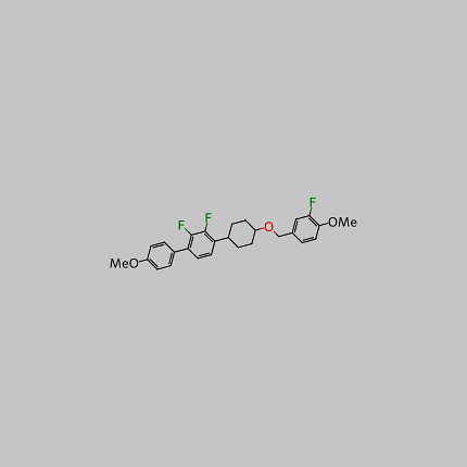 COc1ccc(-c2ccc(C3CCC(OCc4ccc(OC)c(F)c4)CC3)c(F)c2F)cc1